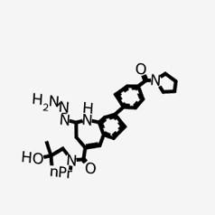 CCCN(CC(C)(C)O)C(=O)C1=Cc2ccc(-c3ccc(C(=O)N4CCCC4)cc3)cc2NC(N=NN)C1